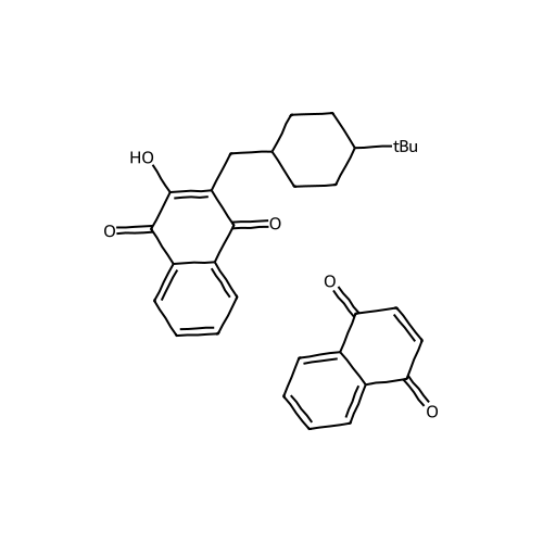 CC(C)(C)C1CCC(CC2=C(O)C(=O)c3ccccc3C2=O)CC1.O=C1C=CC(=O)c2ccccc21